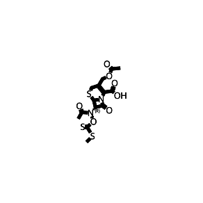 CSC(=S)ON(C(C)=O)[C@@H]1C(=O)N2C(C(=O)O)=C(COC(C)=O)CSC12